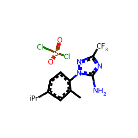 Cc1cc(C(C)C)ccc1-n1nc(C(F)(F)F)nc1N.O=S(=O)(Cl)Cl